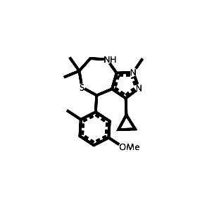 COc1ccc(C)c(C2SC(C)(C)CNc3c2c(C2CC2)nn3C)c1